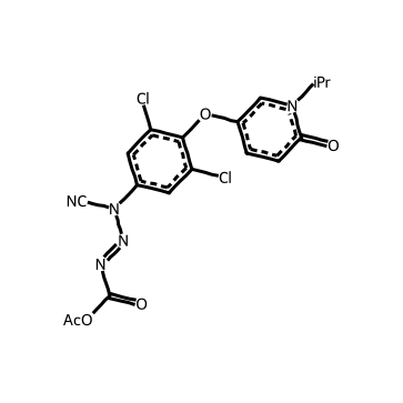 CC(=O)OC(=O)/N=N/N(C#N)c1cc(Cl)c(Oc2ccc(=O)n(C(C)C)c2)c(Cl)c1